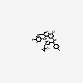 N#Cc1cnc2c(Cl)cc(N[C@@H](c3ccc(F)cc3)c3cn(CC4(O)CC4)nn3)cc2c1Nc1cnc(F)c(F)c1